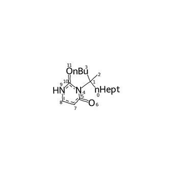 CCCCCCCC(C)(CCCC)n1c(=O)cc[nH]c1=O